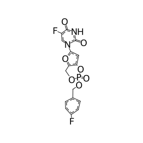 O=c1[nH]c(=O)n(-c2cc3c(o2)COP(=O)(OCc2ccc(F)cc2)O3)cc1F